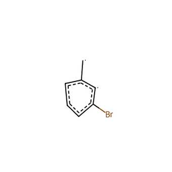 [CH2]c1[c]c(Br)ccc1